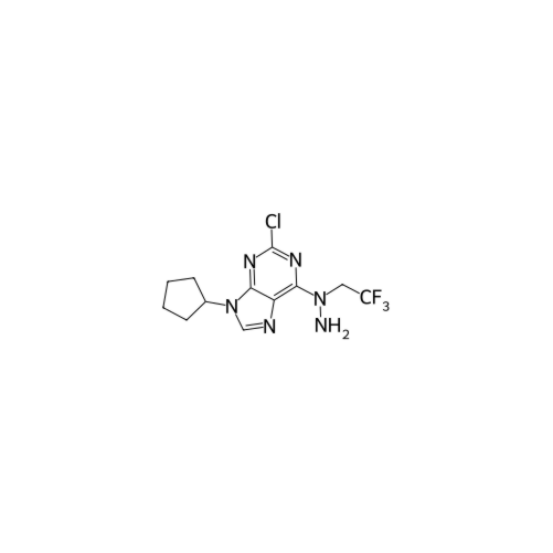 NN(CC(F)(F)F)c1nc(Cl)nc2c1ncn2C1CCCC1